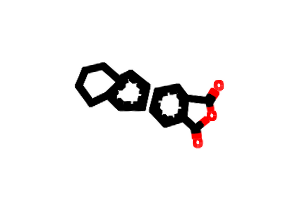 O=C1OC(=O)c2ccccc21.c1ccc2c(c1)CCCC2